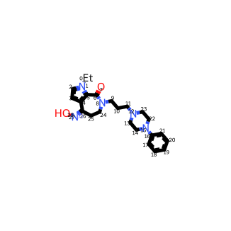 CCn1ccc2c1C(=O)N(CCCN1CCN(c3ccccc3)CC1)CC/C2=N/O